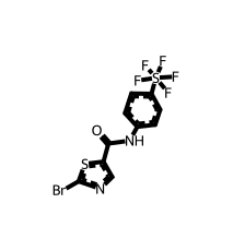 O=C(Nc1ccc(S(F)(F)(F)(F)F)cc1)c1cnc(Br)s1